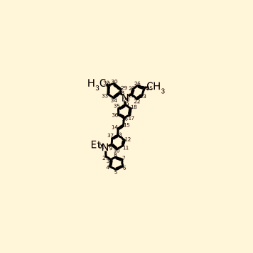 CCN(Cc1ccccc1)c1cccc(C=Cc2ccc(N(c3ccc(C)cc3)c3ccc(C)cc3)cc2)c1